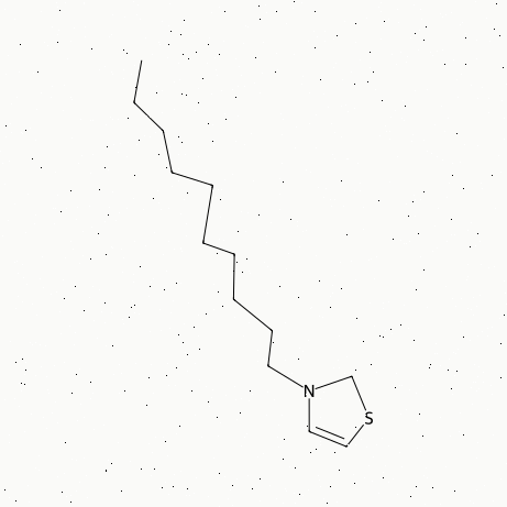 CCCCCCCCCCN1C=CSC1